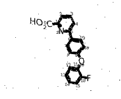 O=C(O)c1cccc(-c2ccc(Oc3ccccc3F)cc2)n1